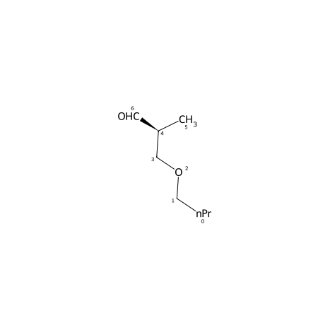 CCCCOC[C@H](C)C=O